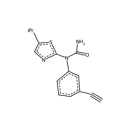 C#Cc1cccc(N(C(N)=O)c2ncc(C(C)C)s2)c1